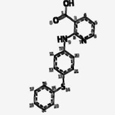 O=C(O)c1cccnc1Nc1ccc(Sc2ccccc2)cc1